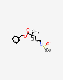 CC(C)(CCC=N[S+]([O-])C(C)(C)C)C(=O)OCc1ccccc1